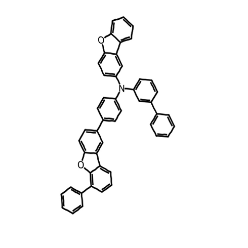 c1ccc(-c2cccc(N(c3ccc(-c4ccc5oc6c(-c7ccccc7)cccc6c5c4)cc3)c3ccc4oc5ccccc5c4c3)c2)cc1